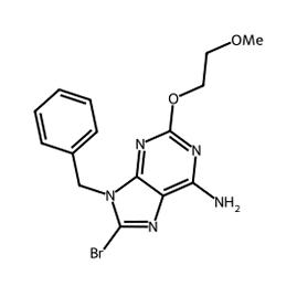 COCCOc1nc(N)c2nc(Br)n(Cc3ccccc3)c2n1